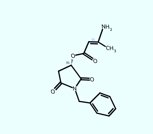 C/C(N)=C\C(=O)O[C@H]1CC(=O)N(Cc2ccccc2)C1=O